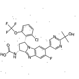 CC(C)(O)c1ncc(-c2cc3c(cc2F)nc2n3[C@@H](c3c(Cl)cccc3OC(F)(F)F)C[C@H]2NC(=O)O)cn1